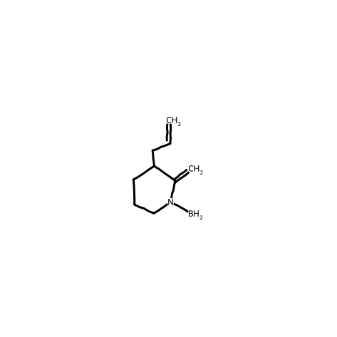 BN1CCCC(CC=C)C1=C